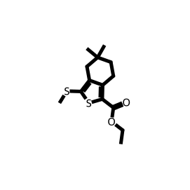 CCOC(=O)c1sc(SC)c2c1CCC(C)(C)C2